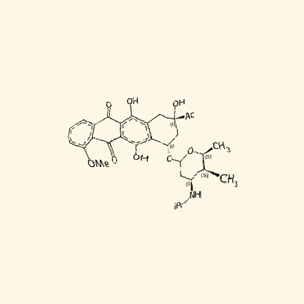 COc1cccc2c1C(=O)c1c(O)c3c(c(O)c1C2=O)C[C@@](O)(C(C)=O)C[C@@H]3OC1C[C@H](NC(C)C)[C@H](C)[C@H](C)O1